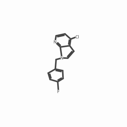 Fc1ccc(Cn2ccc3c(Cl)ccnc32)cc1